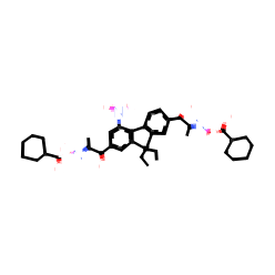 CCC1(CC)c2cc(C(=O)/C(C)=N/OC(=O)C3CCCCC3)ccc2-c2c([N+](=O)[O-])cc(C(=O)/C(C)=N/OC(=O)C3CCCCC3)cc21